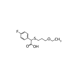 CCOCCCSC(C(=O)O)c1ccc(F)cc1